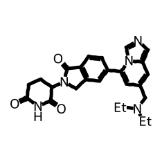 CCN(CC)Cc1cc(-c2ccc3c(c2)CN(C2CCC(=O)NC2=O)C3=O)n2cncc2c1